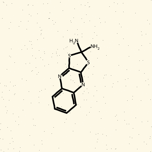 NC1(N)Sc2nc3ccccc3nc2S1